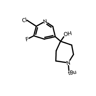 CC(C)(C)N1CCC(O)(c2cnc(Cl)c(F)c2)CC1